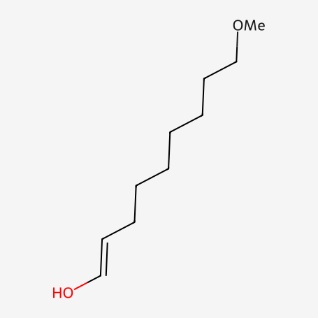 COCCCCCCCC=CO